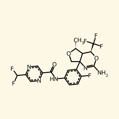 C[C@H]1OCC2(c3cc(NC(=O)c4cnc(C(F)F)cn4)ccc3F)N=C(N)O[C@H](C(F)(F)F)C12